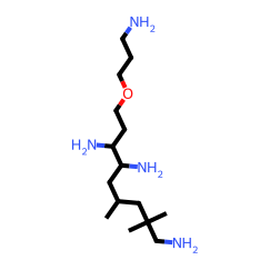 CC(CC(N)C(N)CCOCCCN)CC(C)(C)CN